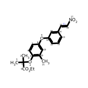 CCOC(=O)C(C)(C)Oc1ccc(Oc2cccc(/C=C/[N+](=O)[O-])c2)cc1C